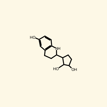 Oc1ccc2c(c1)CCC(C1CCC(O)C1O)N2